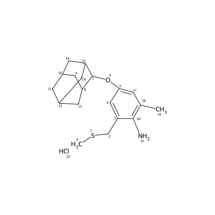 CSCc1cc(OC2C3CC4CC(C3)CC2C4)cc(C)c1N.Cl